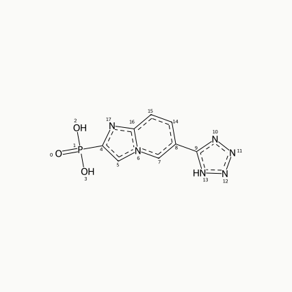 O=P(O)(O)c1cn2cc(-c3nnn[nH]3)ccc2n1